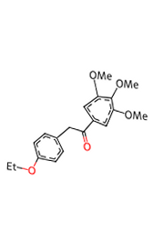 CCOc1ccc(CC(=O)c2cc(OC)c(OC)c(OC)c2)cc1